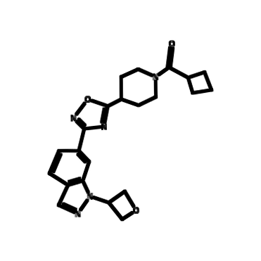 O=C(C1CCC1)N1CCC(c2nc(-c3ccc4cnn(C5COC5)c4c3)no2)CC1